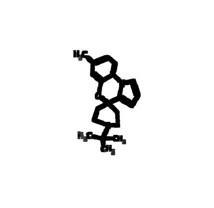 Cc1ccc2c(c1)OC1(CCN(C(C)(C)C)CC1)c1cccn1-2